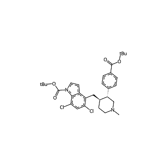 CN1CC[C@@H](Cc2c(Cl)cc(Cl)c3c2ccn3C(=O)OC(C)(C)C)[C@H](c2ccc(C(=O)OC(C)(C)C)cc2)C1